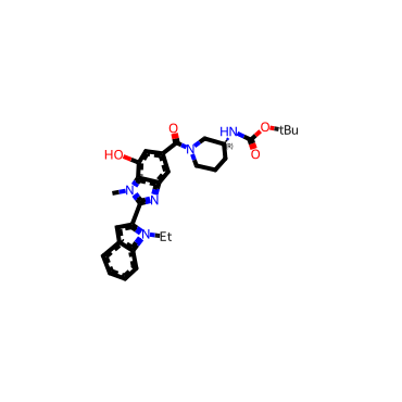 CCn1c(-c2nc3cc(C(=O)N4CCC[C@@H](NC(=O)OC(C)(C)C)C4)cc(O)c3n2C)cc2ccccc21